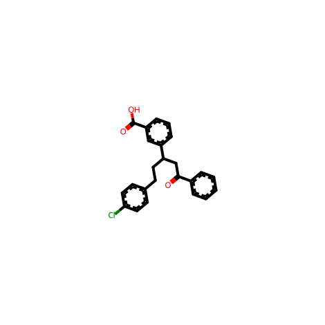 O=C(O)c1cccc(C(CCc2ccc(Cl)cc2)CC(=O)c2ccccc2)c1